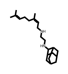 CC(C)=CCCC(C)=CCNCCNC1C2CC3CC(C2)CC1C3